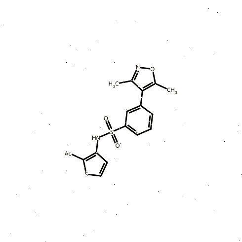 CC(=O)c1sccc1NS(=O)(=O)c1cccc(-c2c(C)noc2C)c1